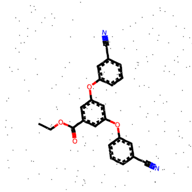 CCOC(=O)c1cc(Oc2cccc(C#N)c2)cc(Oc2cccc(C#N)c2)c1